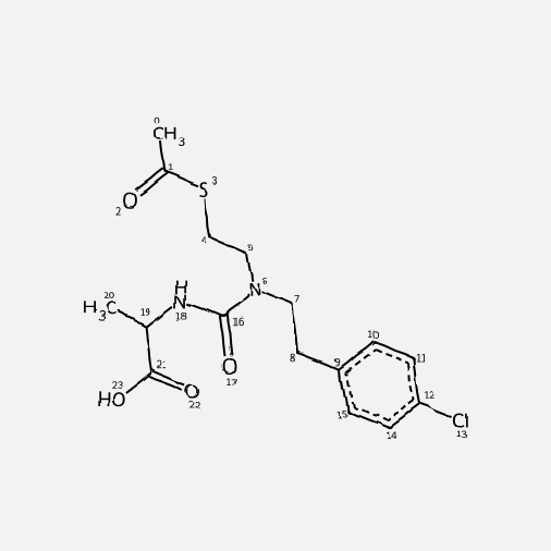 CC(=O)SCCN(CCc1ccc(Cl)cc1)C(=O)NC(C)C(=O)O